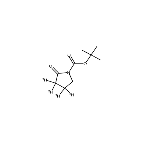 [2H]C1([2H])CN(C(=O)OC(C)(C)C)C(=O)C1([2H])[2H]